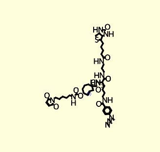 CC1(C(=O)NC(CCCCNC(=O)c2ccc(N=[N+]=[N-])cc2)C(=O)NCCCNC(=O)CCCCC2SCC3NC(=O)NC32)C/C=C/C(OC(=O)NCCCCCN2C(=O)C=CC2=O)CCC1